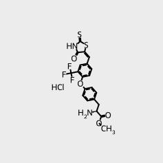 COC(=O)[C@@H](N)Cc1ccc(Oc2ccc(/C=C3/SC(=S)NC3=O)cc2C(F)(F)F)cc1.Cl